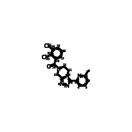 Cc1cccc(-c2nnc3n2CCN(C(=O)c2cccc(Cl)c2Cl)C3)n1